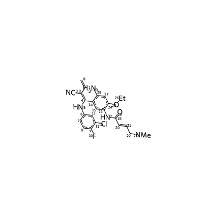 C=C/C(C#N)=C(/Nc1ccc(F)c(Cl)c1)c1cc(NC(=O)/C=C/CNC)c(OCC)cc1N